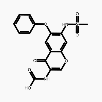 CS(=O)(=O)Nc1cc2occ(NC(=O)O)c(=O)c2cc1Oc1ccccc1